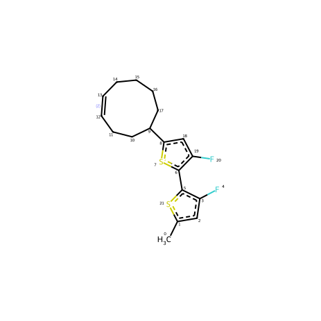 Cc1cc(F)c(-c2sc(C3CC/C=C\CCCC3)cc2F)s1